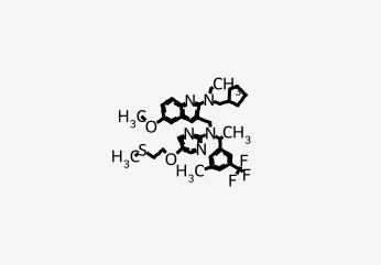 CCN(CC1CCCC1)c1nc2ccc(OC)cc2cc1CN(c1ncc(OCCSC)cn1)C(C)c1cc(C)cc(C(F)(F)F)c1